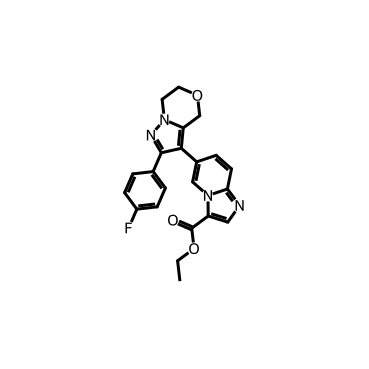 CCOC(=O)c1cnc2ccc(-c3c(-c4ccc(F)cc4)nn4c3COCC4)cn12